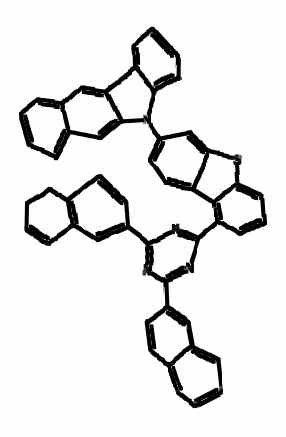 C1=Cc2cc(-c3nc(-c4ccc5ccccc5c4)nc(-c4cccc5sc6cc(-n7c8ccccc8c8cc9ccccc9cc87)ccc6c45)n3)ccc2CC1